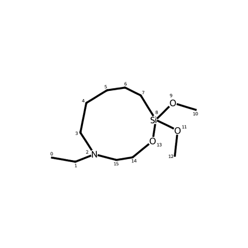 CCN1CCCCC[Si](OC)(OC)OCC1